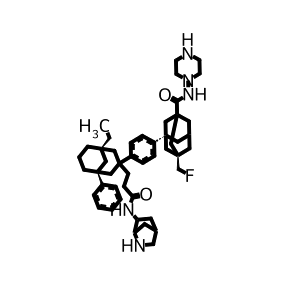 CC[C@@]12CCC[C@@](c3ccccc3)(CC(CCC(=O)NC3CC4CNC3C4)(c3ccc([C@]45CC6CC(C(=O)NN7CCNCC7)(C[C@](CF)(C6)C4)C5)cc3)C1)C2